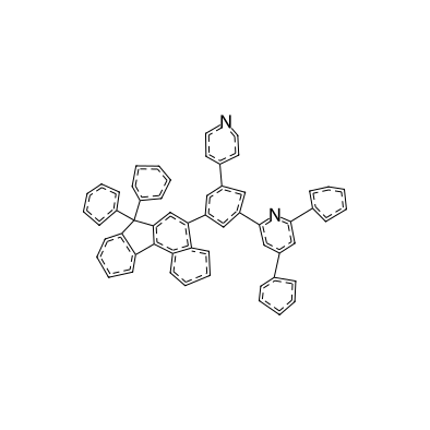 c1ccc(-c2cc(-c3ccccc3)nc(-c3cc(-c4ccncc4)cc(-c4cc5c(c6ccccc46)-c4ccccc4C5(c4ccccc4)c4ccccc4)c3)c2)cc1